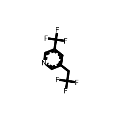 FC(F)(F)Cc1cncc(C(F)(F)F)c1